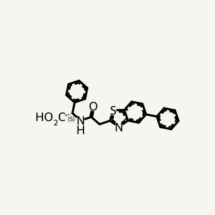 O=C(Cc1nc2cc(-c3ccccc3)ccc2s1)N[C@H](C(=O)O)c1ccccc1